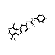 Cc1cnc(Cl)c2c1[nH]c1ccc(NC(=O)Nc3ccccc3)cc12